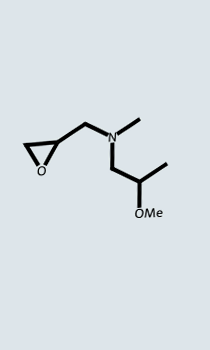 COC(C)CN(C)CC1CO1